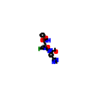 CC(=O)c1nn(CC(=O)N2C[C@H](F)C[C@H]2CCNS(=O)(=O)c2ccccc2)c2ccc(-c3cnc(C)nc3)cc12